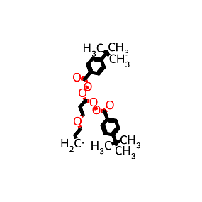 [CH2]CCOCC[C](OOC(=O)c1ccc(C(C)(C)C)cc1)OOC(=O)c1ccc(C(C)(C)C)cc1